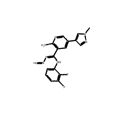 Cn1cc(-c2cnc(N)c(/C(=N/N=N)Nc3cccc(F)c3F)c2)cn1